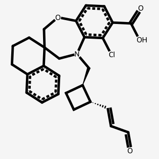 O=C/C=C/[C@@H]1CC[C@H]1CN1CC2(CCCc3ccccc32)COc2ccc(C(=O)O)c(Cl)c21